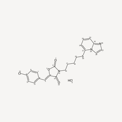 Cl.O=C1OC(=Cc2ccc(Cl)cc2)C(=O)N1CCCCSc1cccc2nccn12